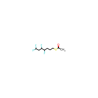 CC(=O)SCCCC(F)C(F)CC(F)F